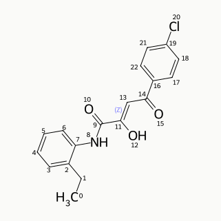 CCc1ccccc1NC(=O)/C(O)=C/C(=O)c1ccc(Cl)cc1